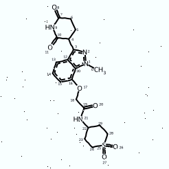 Cn1nc(C2CCC(=O)NC2=O)c2cccc(OCC(=O)NC3CCS(=O)(=O)CC3)c21